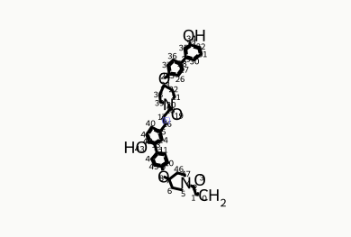 C=CC(=O)N1CCC(Oc2ccc(-c3cc(/C=C/C(=O)N4CCC(Oc5ccc(-c6cccc(O)c6)cc5)CC4)ccc3O)cc2)CC1